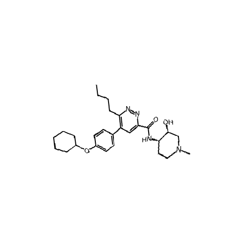 CCCCc1nnc(C(=O)N[C@@H]2CCN(C)C[C@@H]2O)cc1-c1ccc(OC2CCCCC2)cc1